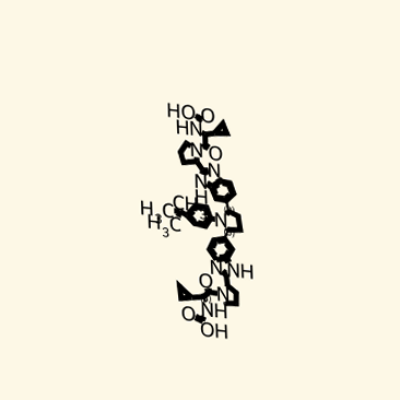 CC(C)(C)c1ccc(N2[C@@H](c3ccc4nc(C5CCCN5C(=O)C(NC(=O)O)C5CC5)[nH]c4c3)CC[C@H]2c2ccc3nc(C4CCCN4C(=O)[C@@H](NC(=O)O)C4CC4)[nH]c3c2)cc1